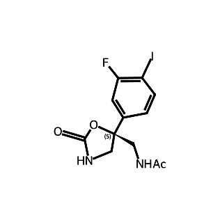 CC(=O)NC[C@@]1(c2ccc(I)c(F)c2)CNC(=O)O1